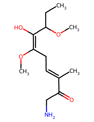 CCC(OC)/C(O)=C(\C/C=C(\C)C(=O)CN)OC